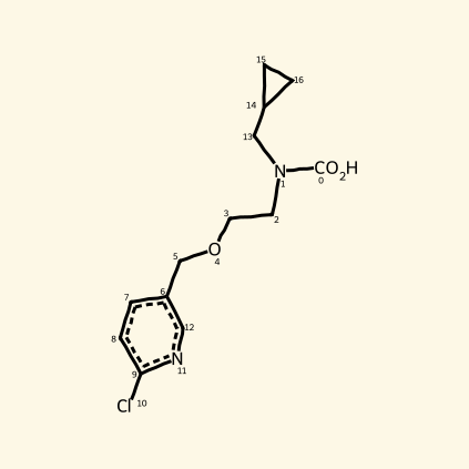 O=C(O)N(CCOCc1ccc(Cl)nc1)CC1CC1